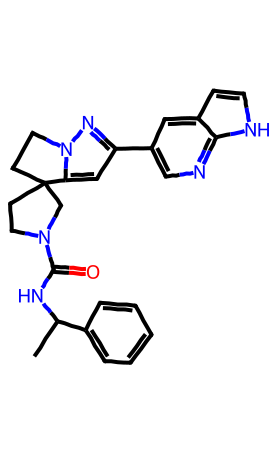 CC(NC(=O)N1CCC2(CCn3nc(-c4cnc5[nH]ccc5c4)cc32)C1)c1ccccc1